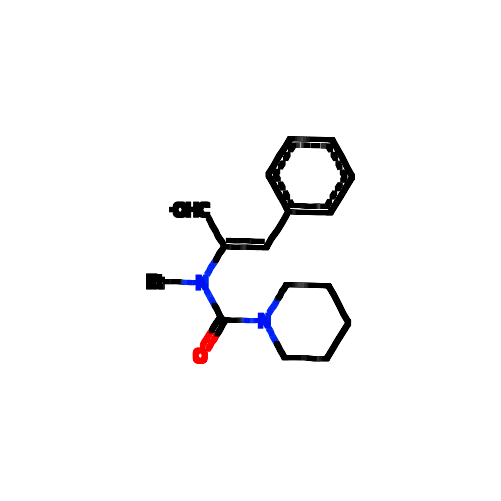 CCN(C(=O)N1CCCCC1)C([C]=O)=Cc1ccccc1